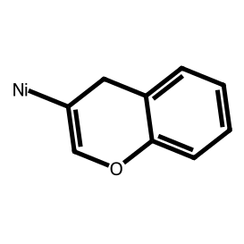 [Ni][C]1=COc2ccccc2C1